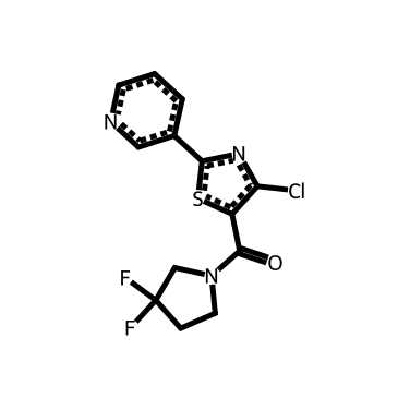 O=C(c1sc(-c2cccnc2)nc1Cl)N1CCC(F)(F)C1